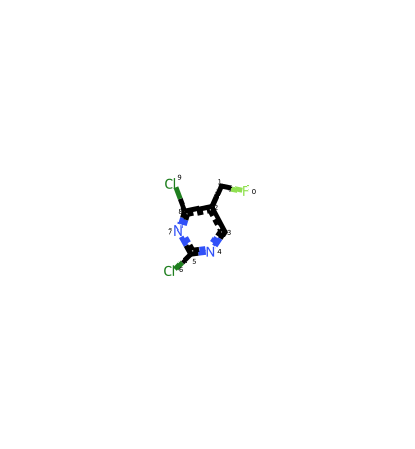 FCc1cnc(Cl)nc1Cl